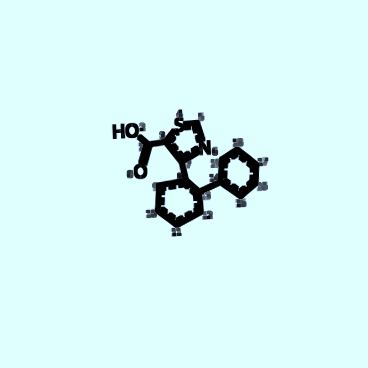 O=C(O)c1scnc1-c1ccccc1-c1ccccc1